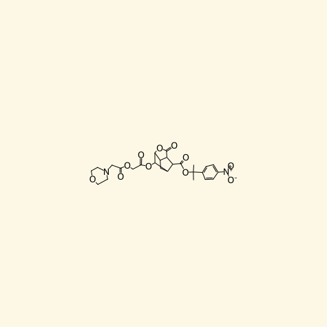 CC(C)(OC(=O)C1C2CC3C(OC(=O)C31)C2OC(=O)COC(=O)CN1CCOCC1)c1ccc([N+](=O)[O-])cc1